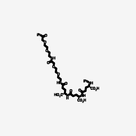 CC(C)N[C@@H](CCC(=O)N[C@@H](CCC(=O)N[C@@H](CCC(=O)NCCOCCOCC(=O)NCCOCCOCC(=O)C(C)C)C(=O)O)C(=O)O)C(=O)O